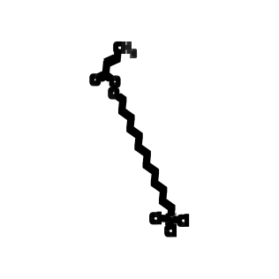 CC=CC(=O)OOCCCCCCCCCCCCC[Si](Cl)(Cl)Cl